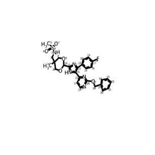 CC1(CNS(C)(=O)=O)COC(c2nc(-c3ccc(F)cc3)c(-c3ccnc(OCc4ccccc4)n3)[nH]2)OC1